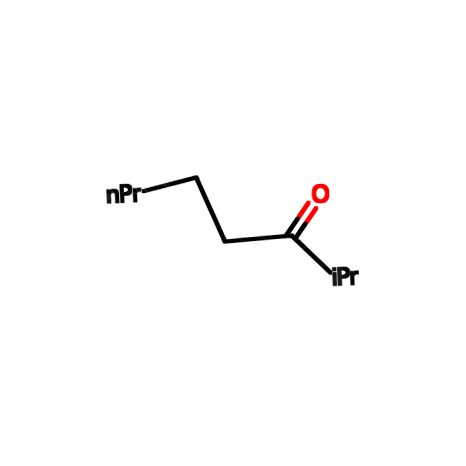 CCCCCC(=O)C(C)C